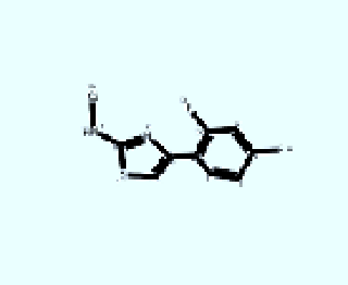 Fc1ccc(-c2csc(NCl)n2)c(F)c1